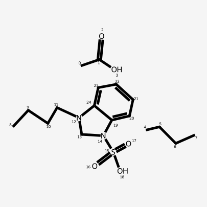 CC(=O)O.CCCC.CCCCN1CN(S(=O)(=O)O)c2ccccc21